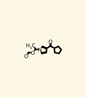 CC(OC=O)n1ccc(C(=O)C2CCCC2)c1